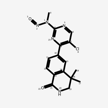 CN(N=O)c1ncc(Cl)c(-c2ccc3c(c2)C(C)(C)CNC3=O)n1